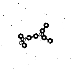 c1ccc(-c2ccc3c(c2)c2cc(-c4ccccc4)ccc2n3-c2ccc(-c3ccc(-n4c5ccccc5c5oc6ccccc6c54)cc3)cc2)cc1